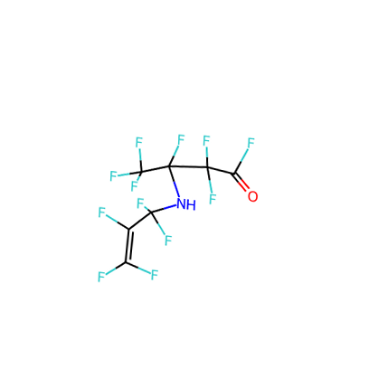 O=C(F)C(F)(F)C(F)(NC(F)(F)C(F)=C(F)F)C(F)(F)F